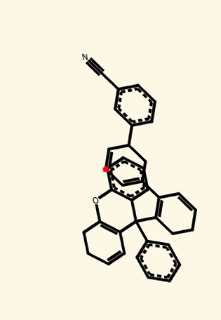 N#Cc1cccc(C2C=CC=C(C3=C(C4(c5ccccc5)C5=C(CCC=C5)Oc5ccccc54)CCC=C3)C2)c1